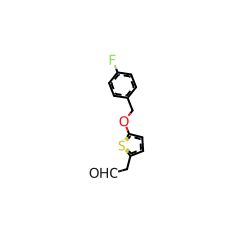 O=CCc1ccc(OCc2ccc(F)cc2)s1